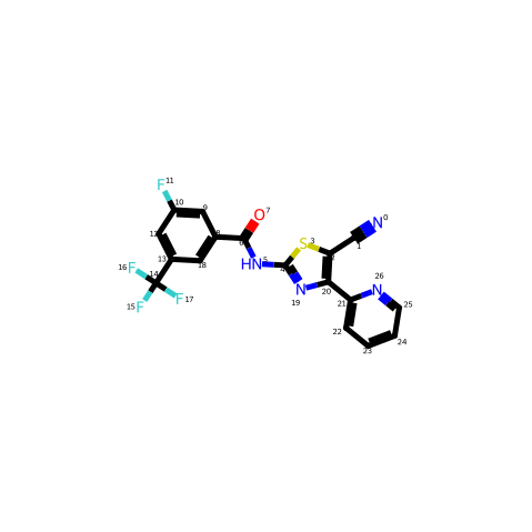 N#Cc1sc(NC(=O)c2cc(F)cc(C(F)(F)F)c2)nc1-c1ccccn1